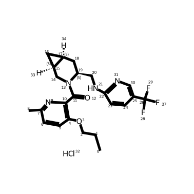 CCCOc1ccc(C)nc1C(=O)N1C[C@H]2C[C@H]2C[C@H]1CNc1ccc(C(F)(F)F)cn1.Cl